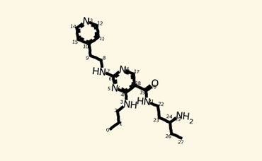 CCCNc1nc(NCCc2ccncc2)ncc1C(=O)NCCC(N)CC